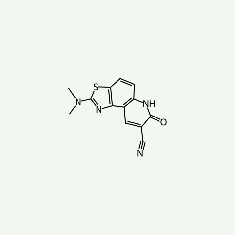 CN(C)c1nc2c(ccc3[nH]c(=O)c(C#N)cc32)s1